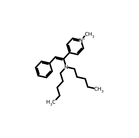 CCCCCN(CCCCC)C(=Cc1ccccc1)c1cc[n+](C)cc1